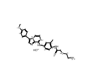 COc1ccc(-c2cnc3c(Nc4ccc(NC(=O)COCCN)c(C)c4)nccn23)cc1.Cl